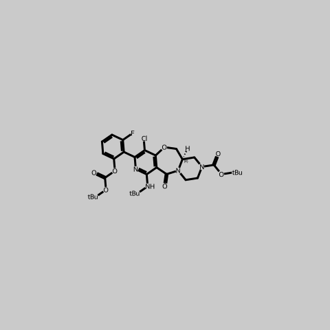 CC(C)(C)Nc1nc(-c2c(F)cccc2OC(=O)OC(C)(C)C)c(Cl)c2c1C(=O)N1CCN(C(=O)OC(C)(C)C)C[C@@H]1CO2